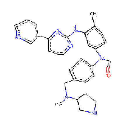 Cc1ccc(N(C=O)c2ccc(CN(C)C3CCNC3)cc2)cc1Nc1nccc(-c2cccnc2)n1